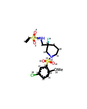 C=CS(=O)(=O)NCC1(F)CCCN(S(=O)(=O)c2cc(Cl)ccc2OC)C1